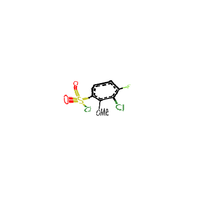 COc1c(S(=O)(=O)Cl)ccc(F)c1Cl